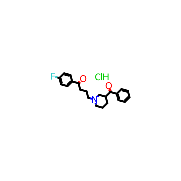 Cl.O=C(CCCN1CCCC(C(=O)c2ccccc2)C1)c1ccc(F)cc1